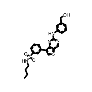 CCCCNS(=O)(=O)c1cccc(-c2csc3cnc(Nc4cccc(CO)c4)nc23)c1